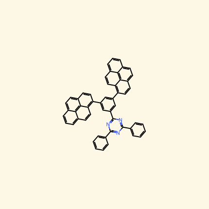 c1ccc(-c2nc(-c3ccccc3)nc(-c3cc(-c4ccc5ccc6cccc7ccc4c5c67)cc(-c4ccc5ccc6cccc7ccc4c5c67)c3)n2)cc1